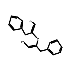 CC(C)C=C(Cc1ccccc1)OC(=CC(C)C)Cc1ccccc1